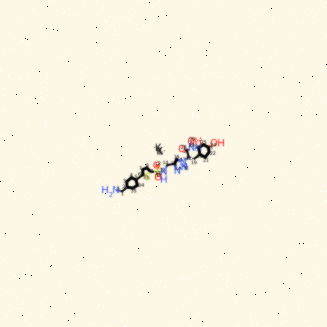 NCc1ccc(-c2ccc(S(=O)(=O)NCc3cn([C@@H](Cc4ccc(O)cc4)C(=O)NO)nn3)s2)cc1.[K].[K]